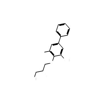 Cc1cc(-c2[c]cccc2)cc(C)c1OC[C@H](O)CO